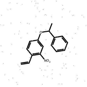 C=Cc1ccc(OC(C)c2ccccc2)cc1[N+](=O)[O-]